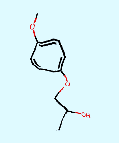 [CH2]C(O)COc1ccc(OC)cc1